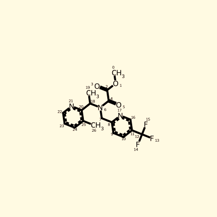 COC(=O)C(=O)N(Cc1ccc(C(F)(F)F)cn1)C(C)c1ncccc1C